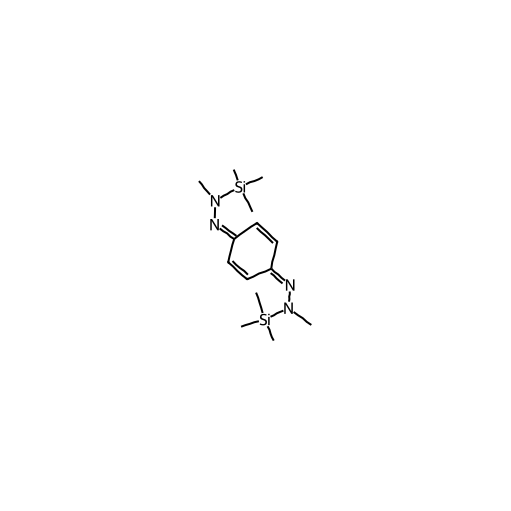 CN(N=C1C=CC(=NN(C)[Si](C)(C)C)C=C1)[Si](C)(C)C